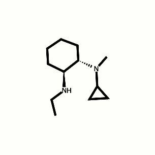 CCN[C@H]1CCCC[C@@H]1N(C)C1CC1